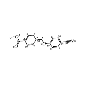 COC(=O)C1=CC[C@@H](COc2ccc(C#N)cc2)C=C1